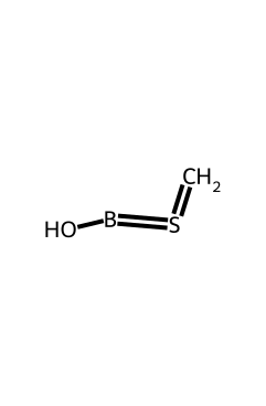 C=S=BO